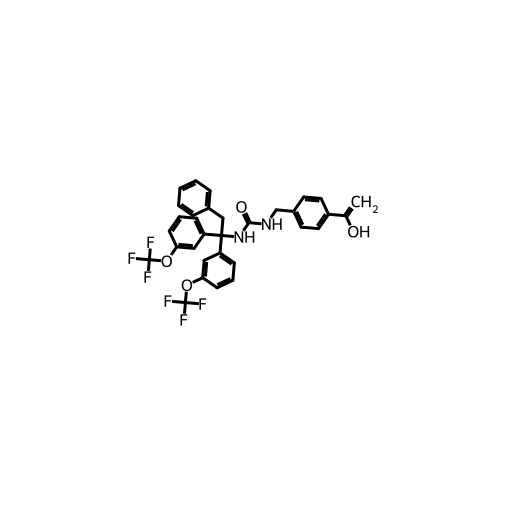 C=C(O)c1ccc(CNC(=O)NC(Cc2ccccc2)(c2cccc(OC(F)(F)F)c2)c2cccc(OC(F)(F)F)c2)cc1